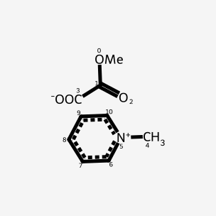 COC(=O)C(=O)[O-].C[n+]1ccccc1